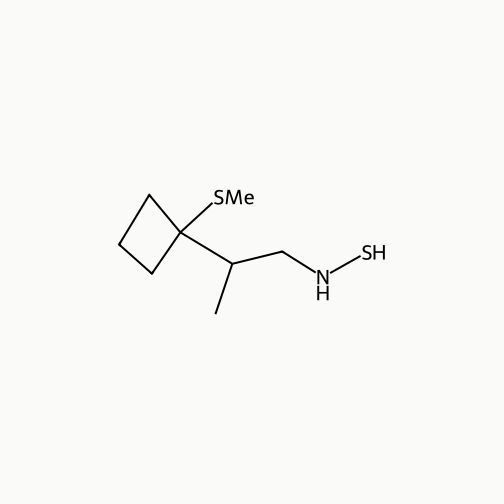 CSC1(C(C)CNS)CCC1